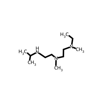 CCN(C)CCN(C)CCNC(C)C